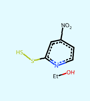 CCO.O=[N+]([O-])c1ccnc(SS)c1